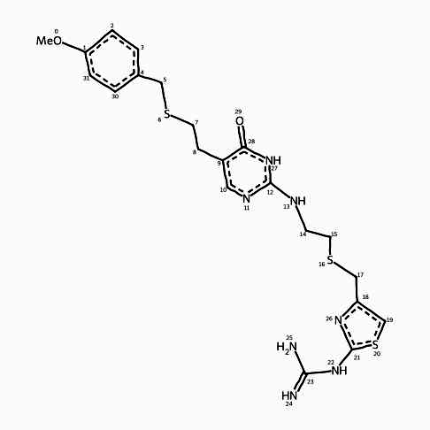 COc1ccc(CSCCc2cnc(NCCSCc3csc(NC(=N)N)n3)[nH]c2=O)cc1